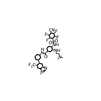 CN(C)CCNc1cc(C(=O)Nc2cccc(-c3cc4ncn(C)c4cc3C(F)(F)F)c2)ccc1NS(=O)(=O)c1c(F)c(F)c(C#N)c(F)c1F